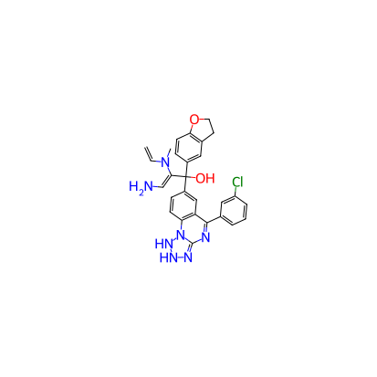 C=CN(C)/C(=C\N)C(O)(c1ccc2c(c1)CCO2)c1ccc2c(c1)C(c1cccc(Cl)c1)=NC1=NNNN12